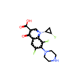 O=C(O)c1cn([C@@H]2C[C@@H]2F)c2c(F)c(N3CCNCC3)c(F)cc2c1=O